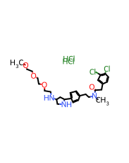 COCCOCCOCCNC1CNC(c2ccc(CCN(C)C(=O)Cc3ccc(Cl)c(Cl)c3)cc2)C1.Cl.Cl